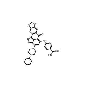 O=C1c2cc3c(cc2-c2onc4c(N5CCN(C6CCCCC6)CC5)cc(Nc5ccc(C(O)O)cc5)c1c24)OCO3